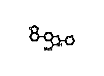 CNC1NC(c2cccnc2)=Nc2ccc(-c3cccc4occc34)cc21